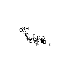 Cn1cc(C(=O)Nc2cc(F)c(CC(=O)N3CC[C@@H](CO[C@H]4CC[C@H](C(=O)O)CC4)C3)cc2Cl)c2c1CCC=C2